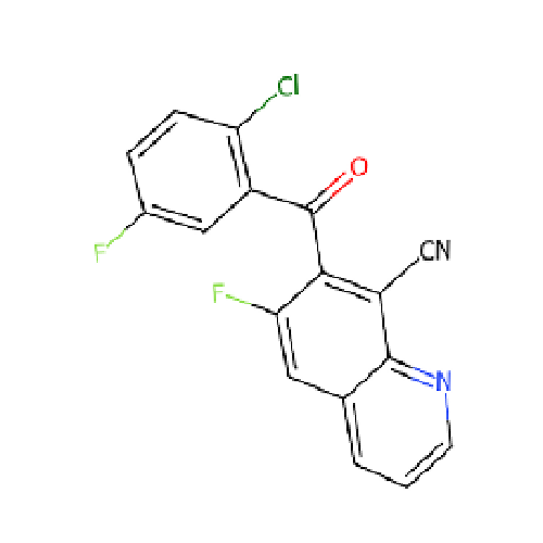 N#Cc1c(C(=O)c2cc(F)ccc2Cl)c(F)cc2cccnc12